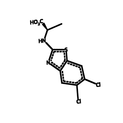 C[C@@H](Nc1nc2cc(Cl)c(Cl)cc2s1)C(=O)O